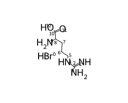 Br.N=C(N)NCCCC(N)C(=O)O